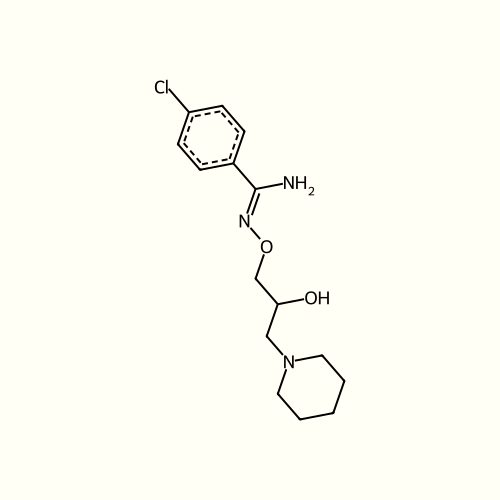 NC(=NOCC(O)CN1CCCCC1)c1ccc(Cl)cc1